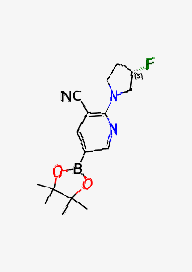 CC1(C)OB(c2cnc(N3CC[C@H](F)C3)c(C#N)c2)OC1(C)C